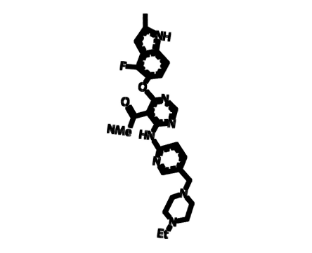 CCN1CCN(Cc2ccc(Nc3ncnc(Oc4ccc5[nH]c(C)cc5c4F)c3C(=O)NC)nc2)CC1